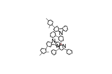 Cc1ccc(-c2ccc3c(c2)c2ccccc2n3-c2ccccc2-c2cc(-c3nc(-c4ccccc4)cc(-c4ccccc4)n3)ccc2-n2c3ccccc3c3cc(-c4ccc(C)cc4C)ccc32)c(C)c1